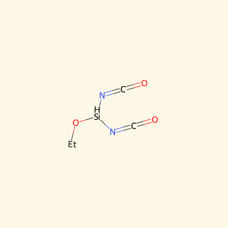 CCO[SiH](N=C=O)N=C=O